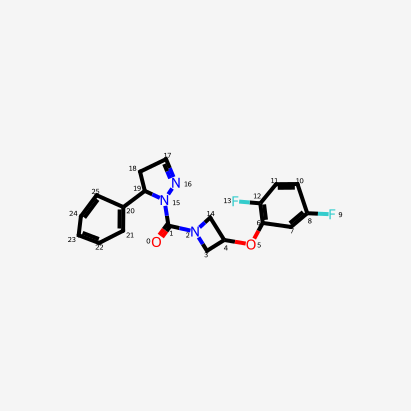 O=C(N1CC(Oc2cc(F)ccc2F)C1)N1N=CCC1c1ccccc1